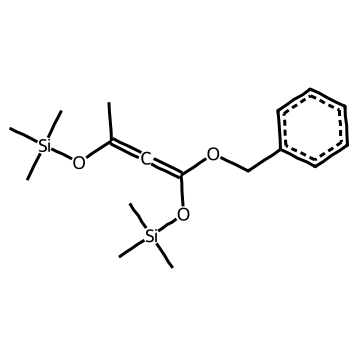 CC(=C=C(OCc1ccccc1)O[Si](C)(C)C)O[Si](C)(C)C